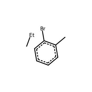 CCC.Cc1ccccc1Br